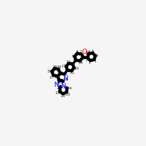 c1ccc2c(c1)oc1ccc(-c3ccc(-c4nc5c(nc6ccccn65)c5ccccc45)cc3)cc12